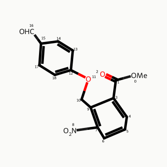 COC(=O)c1cccc([N+](=O)[O-])c1COc1ccc(C=O)cc1